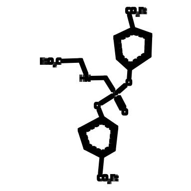 CCOC(=O)CNCP(=O)(Oc1ccc(C(=O)OCC)cc1)Oc1ccc(C(=O)OCC)cc1